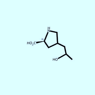 CC(O)CC1CN[C@H](C(=O)O)C1